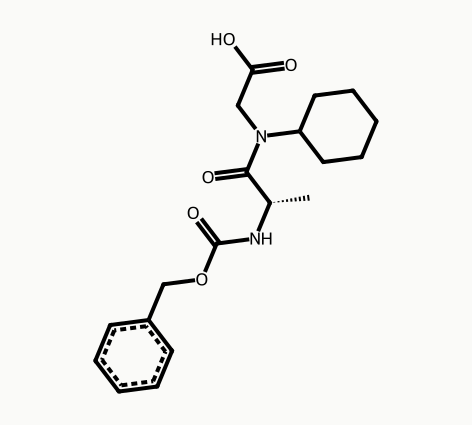 C[C@H](NC(=O)OCc1ccccc1)C(=O)N(CC(=O)O)C1CCCCC1